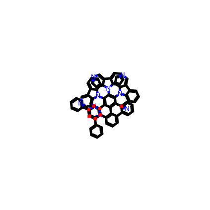 N#Cc1c(-c2c(-c3ccccc3)cccc2-c2ccccc2)c(-c2nc(-c3ccccc3)cc(-c3ccccc3)n2)c(-n2c3ccccc3c3cnccc32)c(-n2c3ccccc3c3cnccc32)c1-n1c2ccccc2c2cnccc21